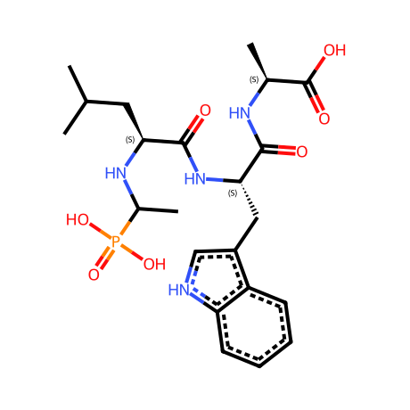 CC(C)C[C@H](NC(C)P(=O)(O)O)C(=O)N[C@@H](Cc1c[nH]c2ccccc12)C(=O)N[C@@H](C)C(=O)O